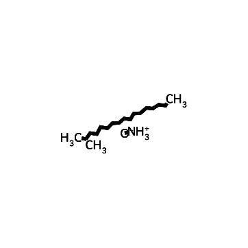 CCCCCCCCCCCCCCCC(C)C.[NH3+][O-]